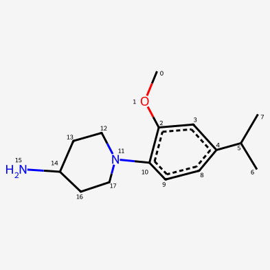 COc1cc(C(C)C)ccc1N1CCC(N)CC1